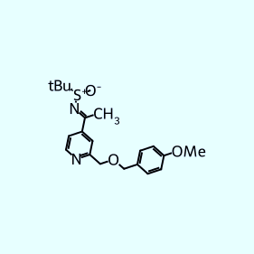 COc1ccc(COCc2cc(C(C)=N[S@+]([O-])C(C)(C)C)ccn2)cc1